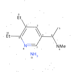 CCc1cc(C(C)NC)cnc1CC.N